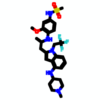 COc1cc(NS(C)(=O)=O)ccc1NC(C)Cc1cc2c(NC3CCN(C)CC3)cccc2n1CC(F)(F)F